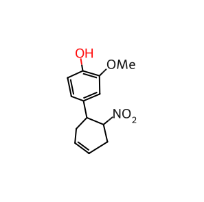 COc1cc(C2CC=CCC2[N+](=O)[O-])ccc1O